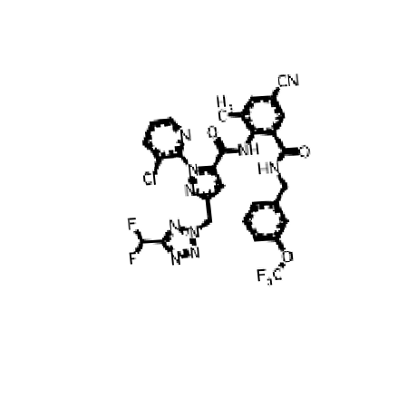 Cc1cc(C#N)cc(C(=O)NCc2cccc(OC(F)(F)F)c2)c1NC(=O)c1cc(Cn2nnc(C(F)F)n2)nn1-c1ncccc1Cl